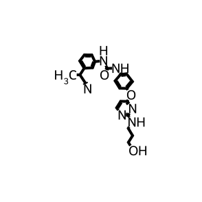 CC(C#N)c1cccc(NC(=O)Nc2ccc(Oc3ccnc(NCCCO)n3)cc2)c1